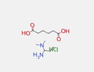 CCC(N)N(C)C.Cl.O=C(O)CCCCC(=O)O